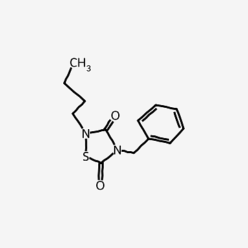 CCCCn1sc(=O)n(Cc2ccccc2)c1=O